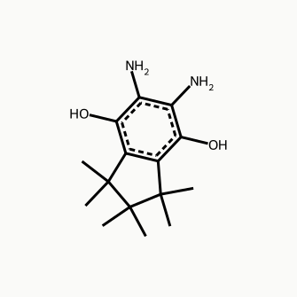 CC1(C)c2c(O)c(N)c(N)c(O)c2C(C)(C)C1(C)C